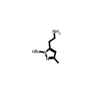 CCCCn1nc(C)cc1CCN